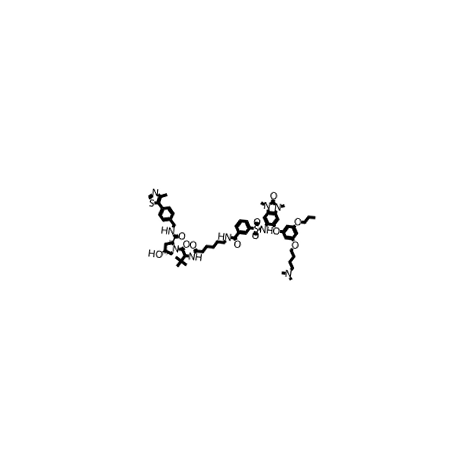 CCCOc1cc(OCCCCN(C)C)cc(Oc2cc3c(cc2NS(=O)(=O)c2cccc(C(=O)NCCCCCC(=O)NC(C(=O)N4C[C@H](O)C[C@H]4C(=O)NCc4ccc(-c5scnc5C)cc4)C(C)(C)C)c2)n(C)c(=O)n3C)c1